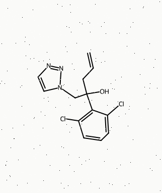 C=CCC(O)(Cn1ccnn1)c1c(Cl)cccc1Cl